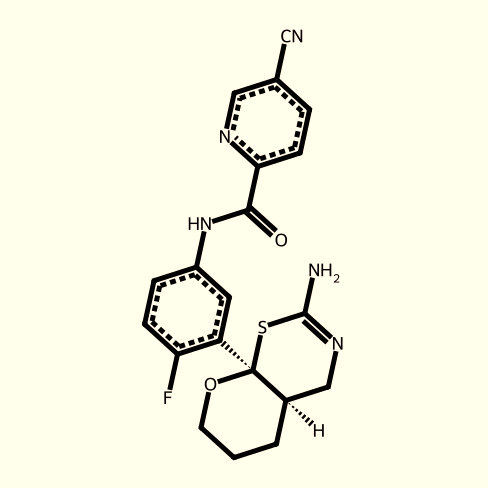 N#Cc1ccc(C(=O)Nc2ccc(F)c([C@@]34OCCC[C@@H]3CN=C(N)S4)c2)nc1